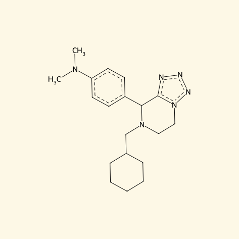 CN(C)c1ccc(C2c3nnnn3CCN2CC2CCCCC2)cc1